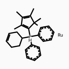 CC1=C(C)C(C)(C)C([PH](c2ccccc2)(c2ccccc2)C2CC=CCC2)=C1C.[Ru]